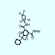 CNC(=O)c1cc(C(=O)NC2[C@H]3CC(F)(F)C[C@@H]23)cc2c1OCC2(CO)c1ccccc1